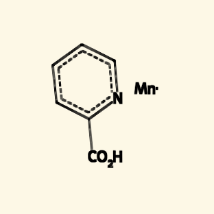 O=C(O)c1ccccn1.[Mn]